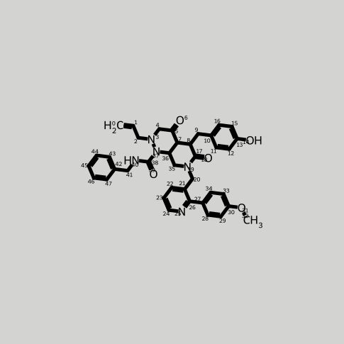 C=CCN1CC(=O)C2C(Cc3ccc(O)cc3)C(=O)N(Cc3cccnc3-c3ccc(OC)cc3)CC2N1C(=O)NCc1ccccc1